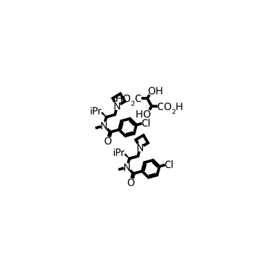 CC(C)[C@@H](CN1CCC1)N(C)C(=O)c1ccc(Cl)cc1.CC(C)[C@@H](CN1CCC1)N(C)C(=O)c1ccc(Cl)cc1.O=C(O)C(O)C(O)C(=O)O